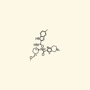 COC[C@H]1CC[C@H](NC(=O)c2cc3cc(C)ccc3[nH]2)[C@H](NC(=O)c2nc3c(s2)CN(C)CC3)C1